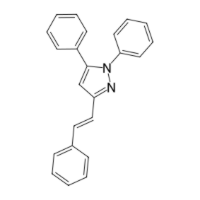 C(=Cc1cc(-c2ccccc2)n(-c2ccccc2)n1)c1ccccc1